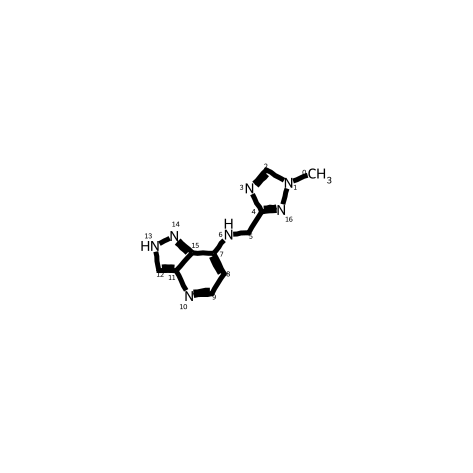 Cn1cnc(CNc2ccnc3c[nH]nc23)n1